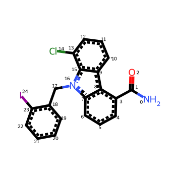 NC(=O)c1cccc2c1c1[c]ccc(Cl)c1n2Cc1ccccc1I